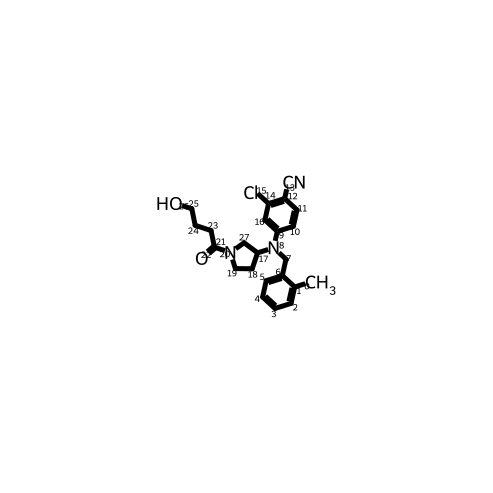 Cc1ccccc1CN(c1ccc(C#N)c(Cl)c1)C1CCN(C(=O)CCCO)C1